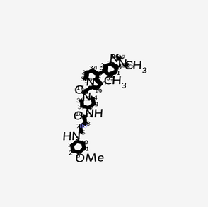 COC1CCC(NC/C=C/C(=O)NC2CCN(C(=O)c3ccc4c(-c5cc6ncn(C)c6cc5C)cccn34)CC2)CC1